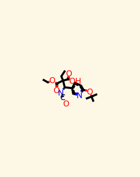 CCOC(=O)C(CC)(C(=O)O)C(N=C=O)c1ccc(OC(C)(C)C)nc1